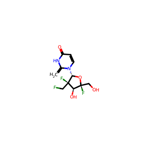 C=C1NC(=O)C=CN1[C@@H]1O[C@](F)(CO)[C@@H](O)[C@]1(F)CF